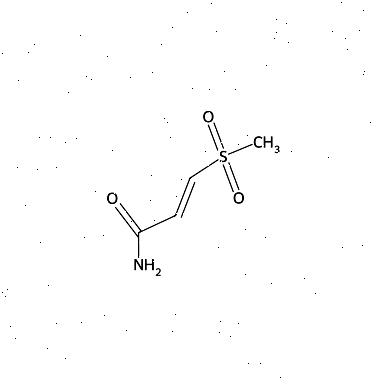 CS(=O)(=O)C=CC(N)=O